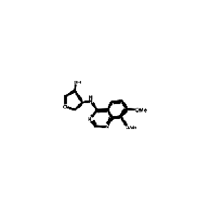 COc1ccc2c(NC3COCC3O)ncnc2c1OC